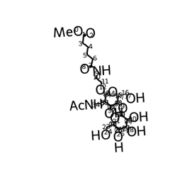 COC(=O)CCCCC(=O)NCCO[C@H]1O[C@H](CO)[C@H](O[C@@H]2O[C@H](CO)[C@H](O)[C@H](O)[C@H]2O)[C@H](O)[C@H]1NC(C)=O